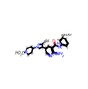 CC(=O)Nc1cccc(NC(=O)c2cc(-c3cn(C4CCN(C(=O)O)CC4)nc3C(C)(C)C)cnc2N)c1